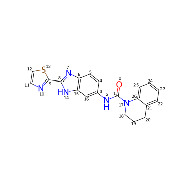 O=C(Nc1ccc2nc(-c3nccs3)[nH]c2c1)N1CCCc2ccccc21